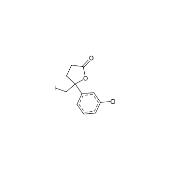 O=C1CCC(CI)(c2cccc(Cl)c2)O1